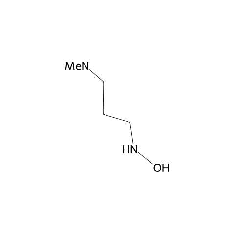 CNCCCNO